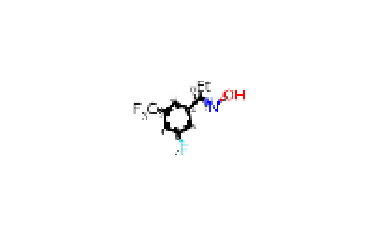 CC/C(=N\O)c1cc(F)cc(C(F)(F)F)c1